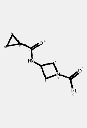 CCC(=O)N1CC(NC(=O)C2CC2)C1